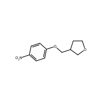 O=[N+]([O-])c1ccc(OCC2CCOC2)cc1